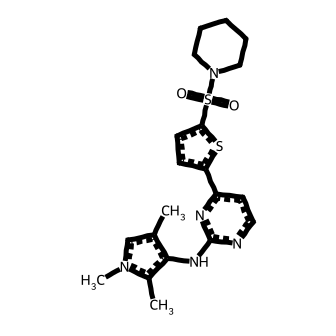 Cc1cn(C)c(C)c1Nc1nccc(-c2ccc(S(=O)(=O)N3CCCCC3)s2)n1